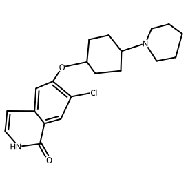 O=c1[nH]ccc2cc(OC3CCC(N4CCCCC4)CC3)c(Cl)cc12